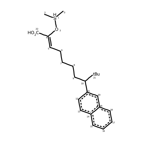 C[SiH](C)OC(=CCCCCC(c1ccc2ccccc2c1)C(C)(C)C)C(=O)O